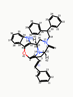 C=C1[C@@H]2CC3=C(/C=C/c4ccccc4)N2[C@@H](CN1CC(c1ccccc1)c1ccccc1)c1[nH]c2ccccc2c1O3